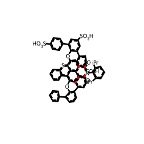 CC(C)c1cccc(C(C)C)c1-n1c(=O)c2cc(Oc3c(-c4ccc(S(=O)(=O)O)cc4)cc(S(=O)(=O)O)cc3-c3ccc(S(=O)(=O)O)cc3)c3sc4ccccc4c4c(Oc5c(-c6ccccc6)cccc5-c5ccccc5)cc(c1=O)c2c34